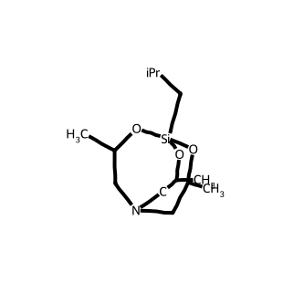 CC(C)C[Si]12OC(C)CN(CC(C)O1)CC(C)O2